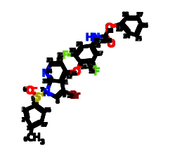 Cc1ccc([S+]([O-])n2cc(Br)c3c(Oc4c(F)cc(NC(=O)Oc5ccccc5)cc4F)ccnc32)cc1